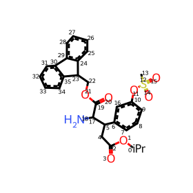 CC(C)OC(=O)CC(c1cccc(OS(C)(=O)=O)c1)C(N)C(=O)OCC1c2ccccc2-c2ccccc21